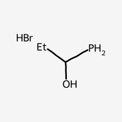 Br.CCC(O)P